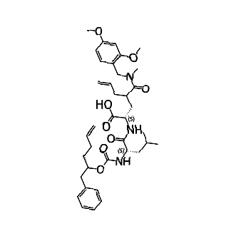 C=CCCC(Cc1ccccc1)OC(=O)N[C@@H](CC(C)C)C(=O)N[C@@H](CC(CC=C)C(=O)N(C)Cc1ccc(OC)cc1OC)C(=O)O